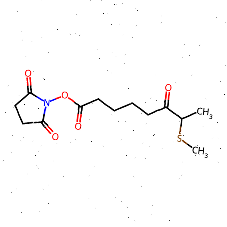 CSC(C)C(=O)CCCCC(=O)ON1C(=O)CCC1=O